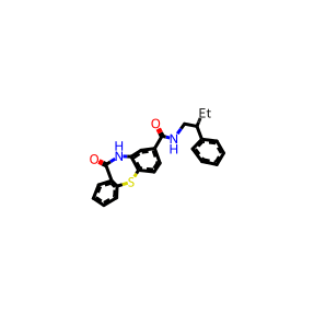 CCC(CNC(=O)c1ccc2c(c1)NC(=O)c1ccccc1S2)c1ccccc1